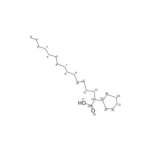 CCCCCCCCCCCCCCC(C(=O)O)C1CCCCC1